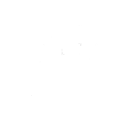 CC[C@H](Nc1cc(C#CC(C)(C)C)sc1C(=O)OC)C(=O)N1CCOCC1OC